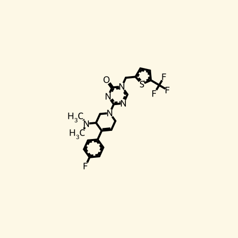 CN(C)C1CN(c2ncn(Cc3ccc(C(F)(F)F)s3)c(=O)n2)CC=C1c1ccc(F)cc1